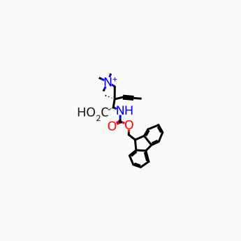 CC#C[C@](C)(C[N+](C)(C)C)[C@H](NC(=O)OCC1c2ccccc2-c2ccccc21)C(=O)O